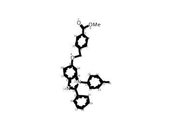 COC(=O)c1ccc(COc2ccc3nc(-c4ccccc4)n(-c4ccc(C)cc4)c3c2)cc1